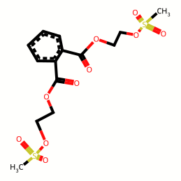 CS(=O)(=O)OCCOC(=O)c1ccccc1C(=O)OCCOS(C)(=O)=O